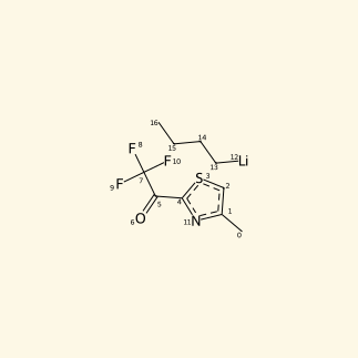 Cc1csc(C(=O)C(F)(F)F)n1.[Li][CH2]CCC